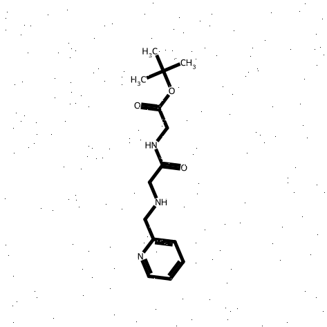 CC(C)(C)OC(=O)CNC(=O)CNCc1ccccn1